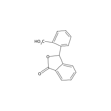 O=C(O)c1ccccc1C1OC(=O)c2ccccc21